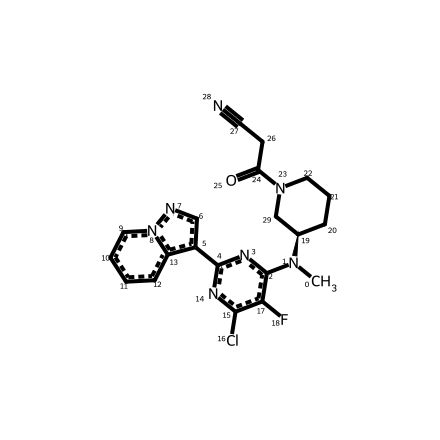 CN(c1nc(-c2cnn3ccccc23)nc(Cl)c1F)[C@@H]1CCCN(C(=O)CC#N)C1